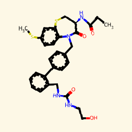 CCC(=O)N[C@@H]1CSc2cc(SC)ccc2N(Cc2ccc(-c3ccccc3CNC(=O)NCCO)cc2)C1=O